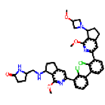 COc1nc(-c2cccc(-c3cccc(-c4cc5c(c(OC)n4)C(N4CC(OC)C4)CC5)c3Cl)c2Cl)cc2c1C(NCC1CCC(=O)N1)CC2